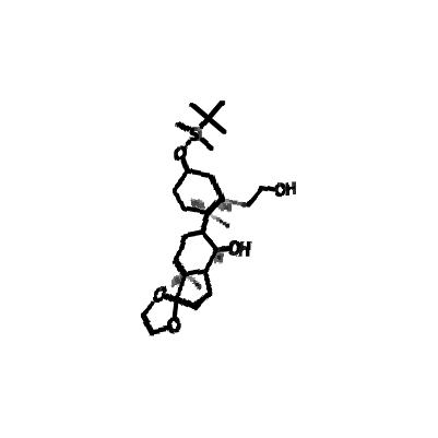 CC(C)(C)[Si](C)(C)OC1CC[C@](C)(C2CC[C@@]3(C)C(CCC34OCCO4)[C@@H]2O)[C@@H](CCO)C1